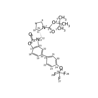 CC(C)(C)OC(=O)N1CCC[C@H]1Cn1c(=O)oc2ccc(-c3ccc(OC(F)(F)F)cc3)cc21